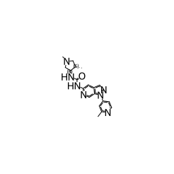 Cc1cc(-n2ncc3cc(NC(=O)N[C@H]4CN(C)C[C@@H]4C)ncc32)ccn1